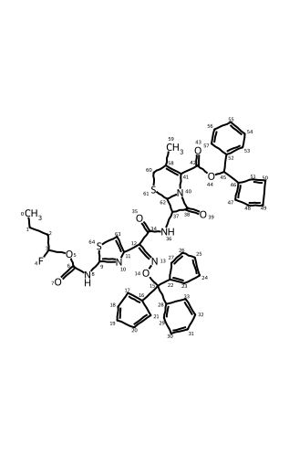 CCCC(F)OC(=O)Nc1nc(C(=NOC(c2ccccc2)(c2ccccc2)c2ccccc2)C(=O)NC2C(=O)N3C(C(=O)OC(c4ccccc4)c4ccccc4)=C(C)CSC23)cs1